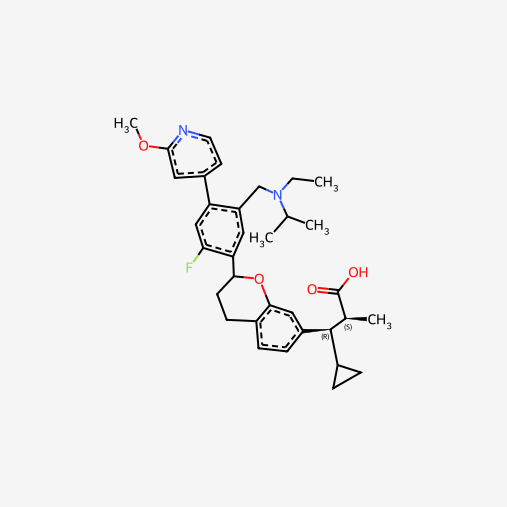 CCN(Cc1cc(C2CCc3ccc([C@H](C4CC4)[C@H](C)C(=O)O)cc3O2)c(F)cc1-c1ccnc(OC)c1)C(C)C